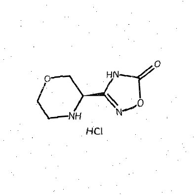 Cl.O=c1[nH]c([C@@H]2COCCN2)no1